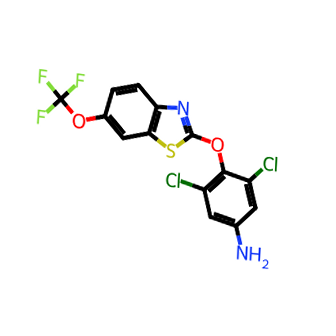 Nc1cc(Cl)c(Oc2nc3ccc(OC(F)(F)F)cc3s2)c(Cl)c1